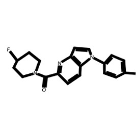 O=Nc1ccc(-n2ccc3nc(C(=O)N4CCC(F)CC4)ccc32)cc1